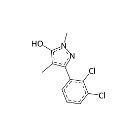 Cc1c(-c2cccc(Cl)c2Cl)nn(C)c1O